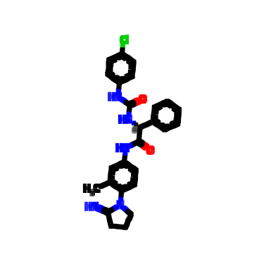 Cc1cc(NC(=O)[C@H](NC(=O)Nc2ccc(Cl)cc2)c2ccccc2)ccc1N1CCCC1=N